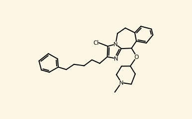 CN1CCC(OC2c3ccccc3CCn3c2nc(CCCCCc2ccccc2)c3Cl)CC1